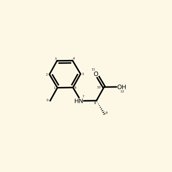 Cc1ccccc1N[C@@H](C)C(=O)O